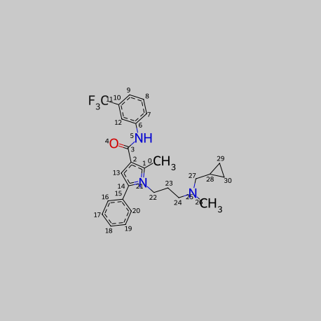 Cc1c(C(=O)Nc2cccc(C(F)(F)F)c2)cc(-c2ccccc2)n1CCCN(C)CC1CC1